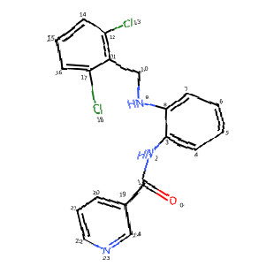 O=C(Nc1ccccc1NCc1c(Cl)cccc1Cl)c1cccnc1